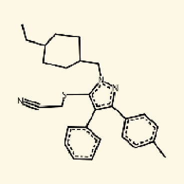 CCC1CCC(Cn2nc(-c3ccc(C)cc3)c(-c3ccccc3)c2SCC#N)CC1